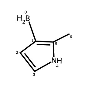 Bc1cc[nH]c1C